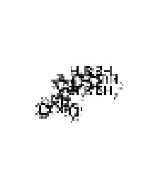 Bc1c(B)c(B)c(-c2ccc3c(c2)oc2c(-c4nc(-c5ccccc5)nc(-c5ccccc5)n4)cccc23)c(B)c1B